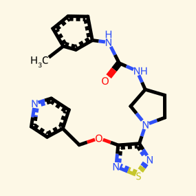 Cc1cccc(NC(=O)NC2CCN(c3nsnc3OCc3ccncc3)C2)c1